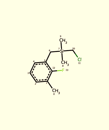 Cc1cccc(C[Si](C)(C)CCl)c1F